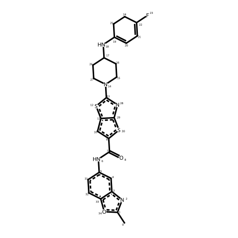 Cc1nc2cc(NC(=O)c3cc4sc(N5CCC(NC6=CC=C(F)CC6)CC5)nc4s3)ccc2o1